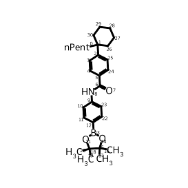 CCCCCC1(c2ccc(C(=O)Nc3ccc(B4OC(C)(C)C(C)(C)O4)cc3)cc2)CCCCC1